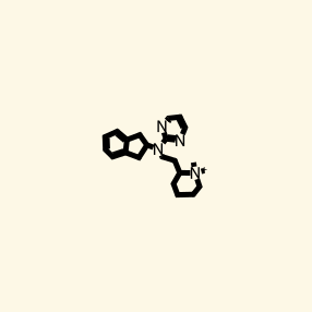 C[N+]1(C)CCCCC1CCN(c1ncccn1)C1Cc2ccccc2C1